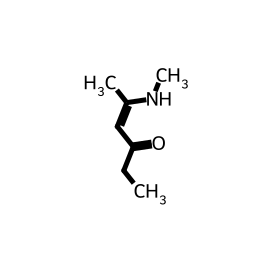 CCC(=O)/C=C(/C)NC